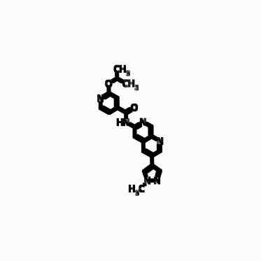 CC(C)Oc1cc(C(=O)Nc2cc3cc(-c4cnn(C)c4)cnc3cn2)ccn1